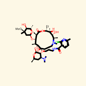 CC[C@H]1OC(=O)[C@H](C)[C@@H](O[C@H]2C[C@@](C)(OC)[C@@H](O)[C@H](C)O2)[C@H](C)[C@@H](O[C@@H]2O[C@H](C)C[C@H](N(C)C)[C@H]2OCCCNC(=O)c2ccc(C)nc2Cl)[C@](C)(O)C[C@@H](C)CN(C)[C@H](C)[C@@H](O)[C@]1(C)O